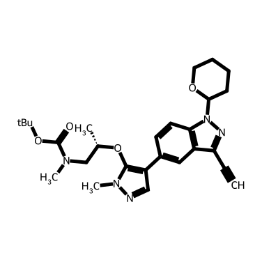 C#Cc1nn(C2CCCCO2)c2ccc(-c3cnn(C)c3O[C@@H](C)CN(C)C(=O)OC(C)(C)C)cc12